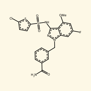 COc1cc(F)cc2c1c(NS(=O)(=O)c1ccc(Cl)s1)nn2Cc1cccc(C(N)=O)c1